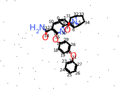 C=CC(=O)N1C2C=C(c3ccc(C(N)=O)c(Oc4ccc(Oc5ccccc5)cc4)n3)CC1CC2